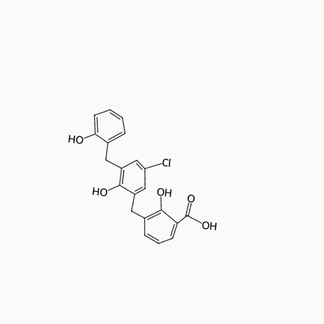 O=C(O)c1cccc(Cc2cc(Cl)cc(Cc3ccccc3O)c2O)c1O